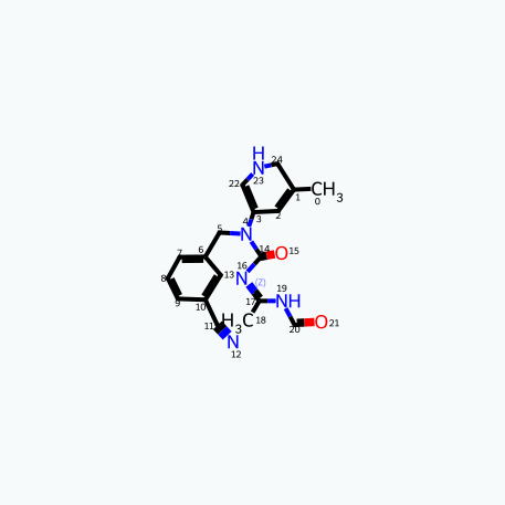 CC1=CC(N(Cc2cccc(C#N)c2)C(=O)/N=C(/C)NC=O)=CNC1